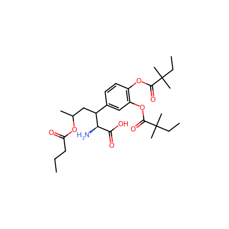 CCCC(=O)OC(C)CC(c1ccc(OC(=O)C(C)(C)CC)c(OC(=O)C(C)(C)CC)c1)[C@H](N)C(=O)O